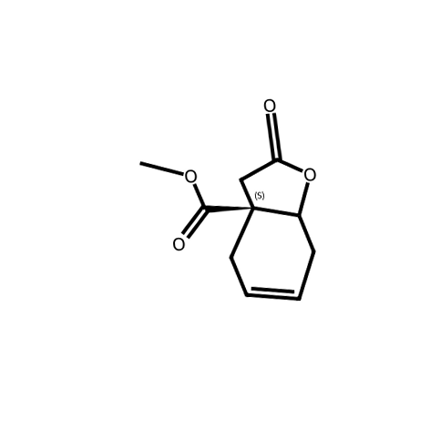 COC(=O)[C@]12CC=CCC1OC(=O)C2